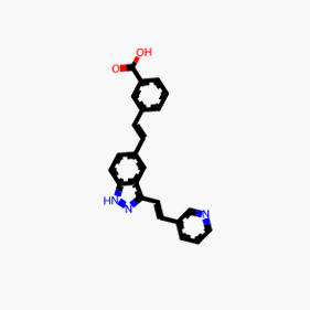 O=C(O)c1cccc(/C=C/c2ccc3[nH]nc(/C=C/c4cccnc4)c3c2)c1